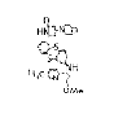 COCCCC(Nc1ccc2c(c1)Sc1cccc(-c3cc(N4CCOCC4)cc(=O)[nH]3)c1S2)c1ccc(C)cn1